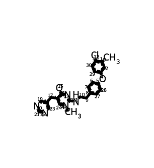 Cc1cc(Oc2ccc(CCNc3nc(=O)c(Cc4cncnc4)cn3C)cc2)ccc1Cl